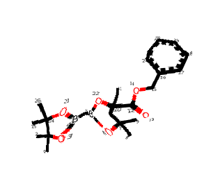 CC1(C)OB(B2OC(C)(C)C(C)(C(=O)OCc3ccccc3)O2)OC1(C)C